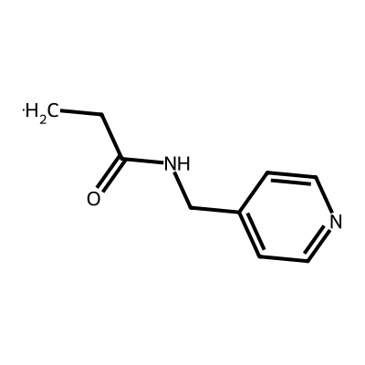 [CH2]CC(=O)NCc1ccncc1